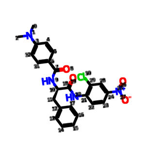 CN(C)c1ccc(C(=O)N[C@H](Cc2ccccc2)C(=O)Nc2ccc([N+](=O)[O-])cc2Cl)cc1